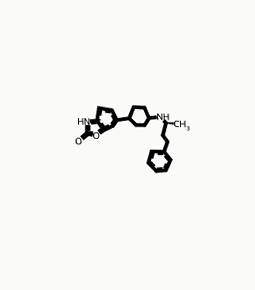 C[C@@H](CCc1ccccc1)NC1CCC(c2ccc3[nH]c(=O)oc3c2)CC1